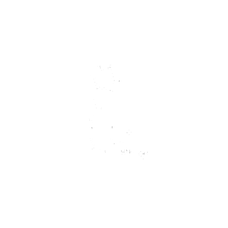 O=C(NO)c1cccc(CCCc2ccccc2)c1